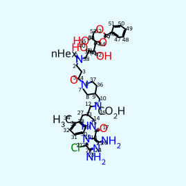 CCCCCCN(CCC(=O)N1CCC(CN(CC(CNC(=O)c2nc(Cl)c(N)nc2N)Cc2ccccc2C)C(=O)O)CC1)C[C@@H](O)[C@@H](O)[C@@H]1O[C@H](c2ccccc2)OC[C@H]1O